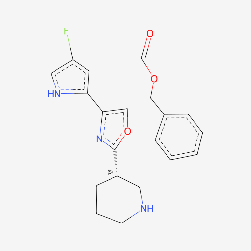 Fc1c[nH]c(-c2coc([C@H]3CCCNC3)n2)c1.O=COCc1ccccc1